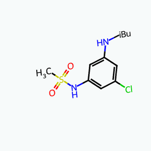 CCC(C)Nc1cc(Cl)cc(NS(C)(=O)=O)c1